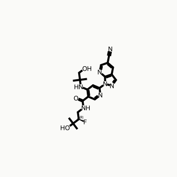 CC(C)(CO)Nc1cc(-n2ncc3cc(C#N)cnc32)ncc1C(=O)NC[C@@H](F)C(C)(C)O